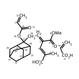 C=C(C=C(C)C(=O)O)C(=O)OC.C=CC(=O)O.C=CC(=O)OC1(C)C2CC3CC(C2)CC1C3